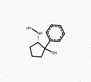 CCCN[C@H]1CCCC1(O)c1ccccc1